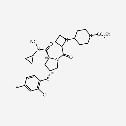 CCOC(=O)N1CCC(N2CCC2C(=O)N2C[C@H](Sc3ccc(F)cc3Cl)C[C@H]2C(=O)N(C#N)C2CC2)CC1